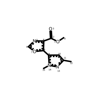 COC(=O)c1ncoc1-c1cc(C)nn1C